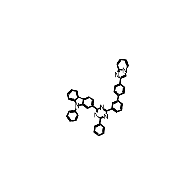 c1ccc(-c2nc(-c3cccc(-c4ccc(-c5cn6ccccc6n5)cc4)c3)nc(-c3ccc4c5ccccc5n(-c5ccccc5)c4c3)n2)cc1